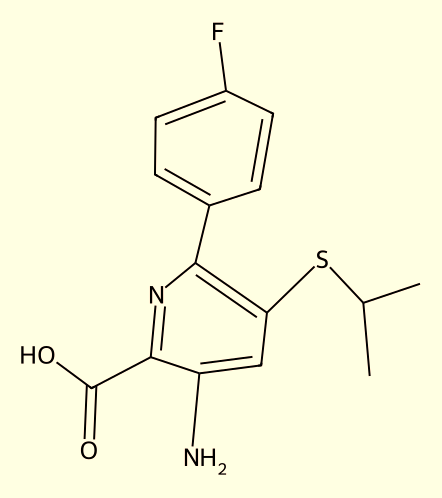 CC(C)Sc1cc(N)c(C(=O)O)nc1-c1ccc(F)cc1